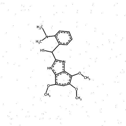 COc1cc(OC)c2[nH]c(C(S)c3ccccc3N(C)C)nc2c1OC